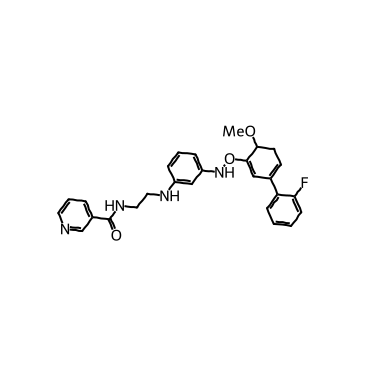 COC1CC=C(c2ccccc2F)C=C1ONc1cccc(NCCNC(=O)c2cccnc2)c1